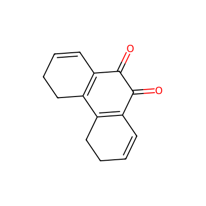 O=C1C(=O)C2=C(CCC=C2)C2=C1C=CCC2